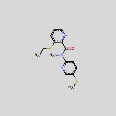 CCSc1cccnc1C(=O)N(C)c1ccc(SC)cn1